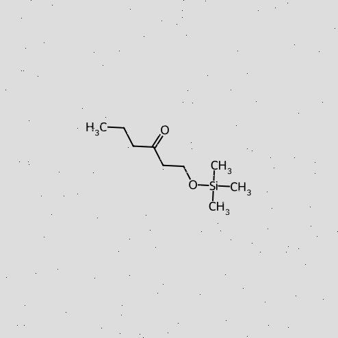 CCCC(=O)CCO[Si](C)(C)C